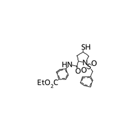 CCOC(=O)c1ccc(NC(=O)C2CC(S)CN2S(=O)(=O)Cc2ccccc2)cc1